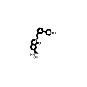 CCN1CCC(c2cccc(CCn3ccc4ccc(C(=O)NO)cc4c3=O)c2)CC1